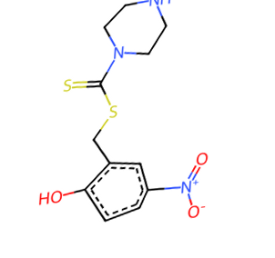 O=[N+]([O-])c1ccc(O)c(CSC(=S)N2CCNCC2)c1